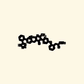 CCCCc1nc(C)n(-c2ncc(Oc3ccccc3CC(=O)OC)cn2)c(=O)c1Cc1ccc(-c2ccccc2-c2nnn[nH]2)cc1